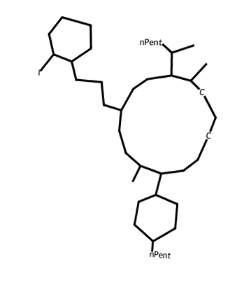 CCCCCC1CCC(C2CCCCCC(C)C(C(C)CCCCC)CCC(CCCC3CCCCC3I)CCC2C)CC1